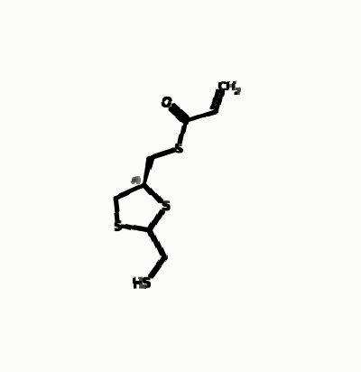 C=CC(=O)SC[C@@H]1CSC(CS)S1